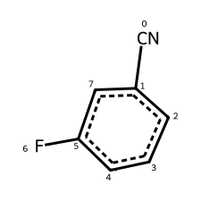 N#Cc1cc[c]c(F)c1